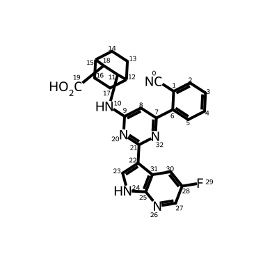 N#Cc1ccccc1-c1cc(NC2C3CCC(CC3)C2C(=O)O)nc(-c2c[nH]c3ncc(F)cc23)n1